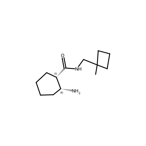 CC1(CNC(=O)[C@H]2CCCC[C@H]2N)CCC1